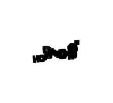 CCN(CCN1CCC(c2noc3cc(F)ccc23)CC1)SCCO